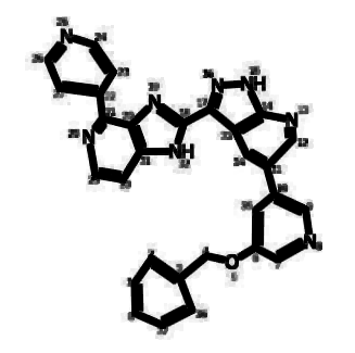 c1ccc(COc2cncc(-c3cnc4[nH]nc(-c5nc6c(-c7ccncc7)nccc6[nH]5)c4c3)c2)cc1